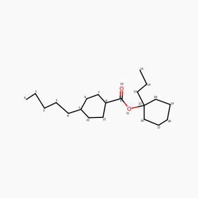 CCCCCC1CCC(C(=O)OC2(CCC)CCCCC2)CC1